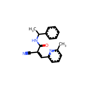 Cc1cccc(C=C(C#N)C(=O)NC(C)c2ccccc2)n1